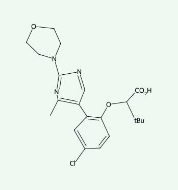 Cc1nc(N2CCOCC2)ncc1-c1cc(Cl)ccc1OC(C(=O)O)C(C)(C)C